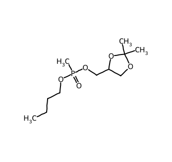 CCCCOP(C)(=O)OCC1COC(C)(C)O1